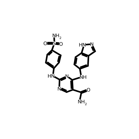 NC(=O)c1cnc(Nc2ccc(S(N)(=O)=O)cc2)nc1Nc1ccc2[nH]ncc2c1